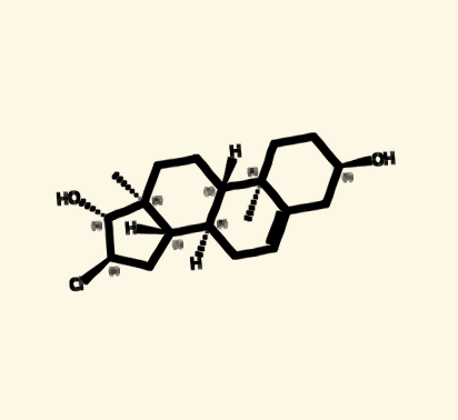 C[C@]12CC[C@H]3[C@@H](CC=C4C[C@H](O)CC[C@@]43C)[C@@H]1C[C@@H](Cl)[C@@H]2O